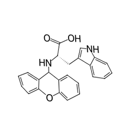 O=C(O)[C@H](Cc1c[nH]c2ccccc12)NC1c2ccccc2Oc2ccccc21